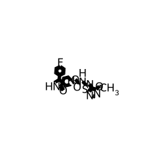 COc1ncnc2sc(NC(=O)ON3CCC4(CC3)C(=O)NCC4c3ccc(F)cc3)nc12